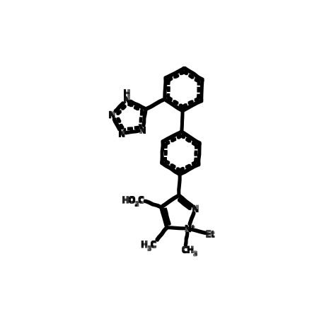 CC[N+]1(C)N=C(c2ccc(-c3ccccc3-c3nnn[nH]3)cc2)C(C(=O)O)=C1C